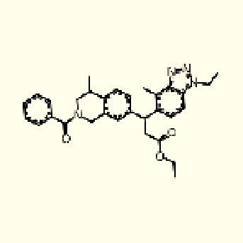 CCOC(=O)CC(c1ccc2c(c1)CN(C(=O)c1ccccc1)CC2C)c1ccc2c(nnn2CC)c1C